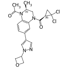 CC(=O)N1c2ccc(-c3cnn(C4COC4)c3)cc2N(C(=O)[C@H]2CC2(Cl)Cl)C[C@@H]1C